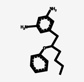 CCCCC(Cc1cc(N)cc(N)c1)Oc1ccccc1